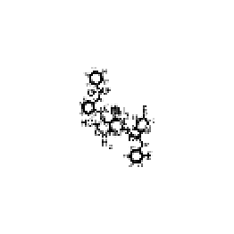 CC(c1ccccc1CS(=O)(=O)c1ccccc1)N(C(=O)O)c1c(N)nc(-n2nc(Cc3ccccc3F)c3ncc(F)cc32)nc1N